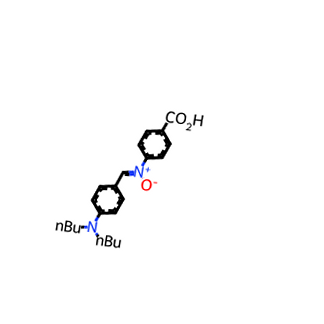 CCCCN(CCCC)c1ccc(C=[N+]([O-])c2ccc(C(=O)O)cc2)cc1